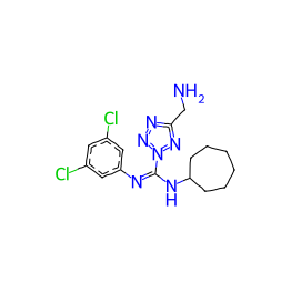 NCc1nnn(C(=Nc2cc(Cl)cc(Cl)c2)NC2CCCCCC2)n1